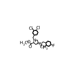 COC(=O)C1C[C@H](N(C)Cc2ccc(F)cc2F)CN1Cc1ccc(Cl)c(Cl)c1